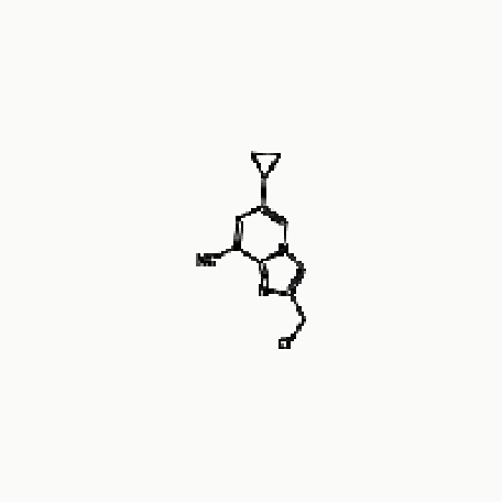 N#Cc1cc(C2CC2)cn2cc(CCl)nc12